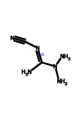 N#C/N=C(\N)N(N)N